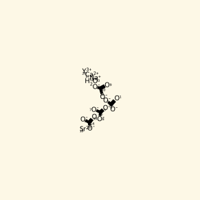 O.O=C([O-])[O-].O=C([O-])[O-].O=C([O-])[O-].O=C([O-])[O-].[Ca+2].[Na+].[Sr+2].[Y+3]